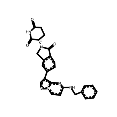 O=C1CC[C@H](N2Cc3cc(-c4cnn5ccc(NCc6ccccc6)nc45)ccc3C2=O)C(=O)N1